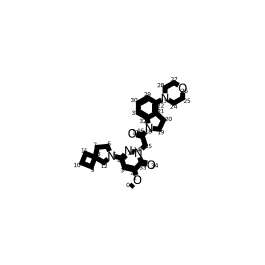 COc1cc(N2CCC3(CCC3)C2)nn(CC(=O)N2CCc3c(N4CCOCC4)cccc32)c1=O